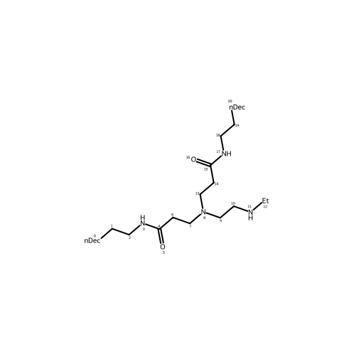 CCCCCCCCCCCCNC(=O)CCN(CCNCC)CCC(=O)NCCCCCCCCCCCC